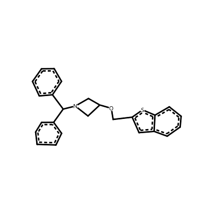 c1ccc(C(c2ccccc2)N2CC(OCc3cc4ccccc4s3)C2)cc1